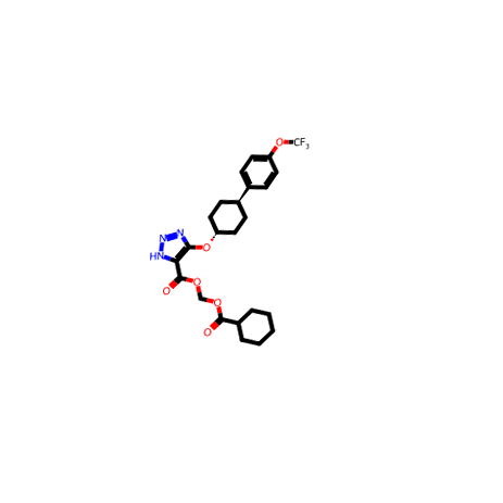 O=C(OCOC(=O)C1CCCCC1)c1[nH]nnc1O[C@H]1CC[C@H](c2ccc(OC(F)(F)F)cc2)CC1